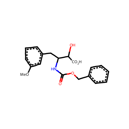 COc1cccc(CC(NC(=O)OCc2ccccc2)C(O)C(=O)O)c1